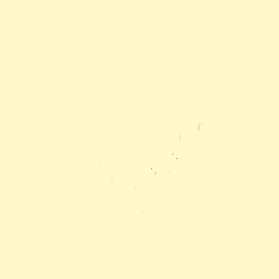 FC(F)(F)c1cccc(N(c2ccccc2)c2c3ccccc3c(-c3ccc(-c4ccccc4)cc3)c3ccccc23)n1